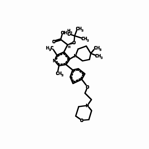 Cc1nc(C)c([C@H](OC(C)(C)C)C(=O)O)c(N2CCC(C)(C)CC2)c1-c1ccc(OCCN2CCOCC2)cc1